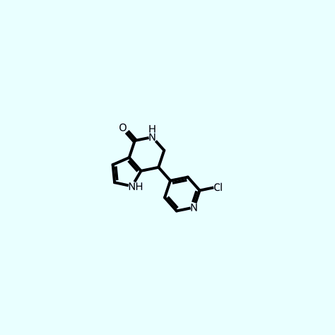 O=C1NCC(c2ccnc(Cl)c2)c2[nH]ccc21